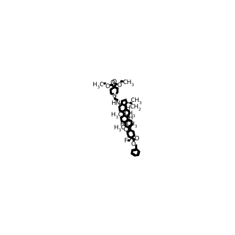 C=C(C)[C@@H]1CC[C@]2(NCCN3CCC(C(=O)OCC)(C(=O)OCC)CC3)CC[C@]3(C)[C@H](CC[C@@H]4[C@@]5(C)CC=C(C6=CC[C@@](CF)(C(=O)OCc7ccccc7)CC6)C(C)(C)[C@@H]5CC[C@]43C)C12